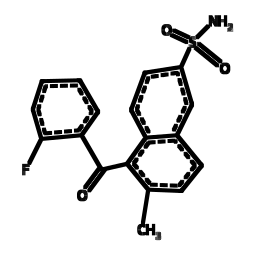 Cc1ccc2cc(S(N)(=O)=O)ccc2c1C(=O)c1ccccc1F